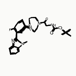 Cn1c(-c2cc(N3CCN(C(=O)CNC(=O)OC(C)(C)C)CC3)ccc2F)nc2ccccc21